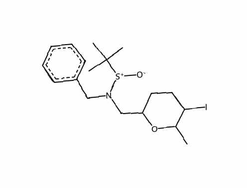 CC1OC(CN(Cc2ccccc2)[S+]([O-])C(C)(C)C)CCC1I